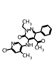 CCn1nc(-c2ccccc2)c(C(C)=O)c(Nc2cnc(Cl)cc2C)c1=O